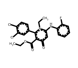 CCOC(=O)c1c(-c2ccc(Cl)c(Cl)c2)n(CC)c(Nc2ccccc2F)cc1=O